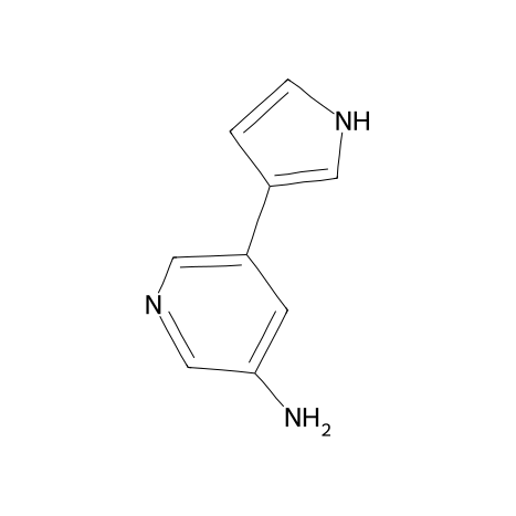 Nc1cncc(-c2cc[nH]c2)c1